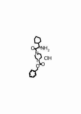 Cl.N[C@H](C(=O)N1CCN(C(=O)OCc2ccccc2)CC1)C1CCCCC1